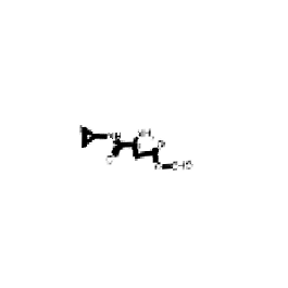 N[C@@H](CC(=O)OC=O)C(=O)NC1CC1